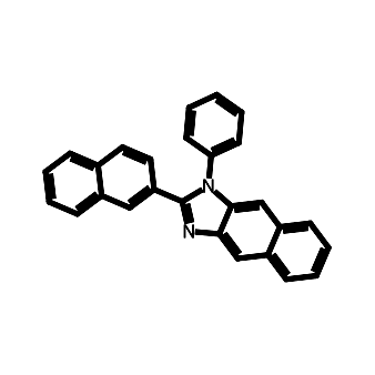 c1ccc(-n2c(-c3ccc4ccccc4c3)nc3cc4ccccc4cc32)cc1